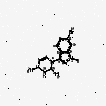 [2H]C1C=CN(c2nn(C)c3cc(Br)ccc23)C([2H])N1